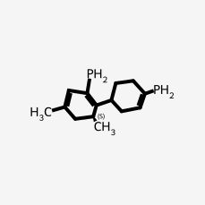 CC1=CC(P)=C(C2CC=C(P)CC2)[C@@H](C)C1